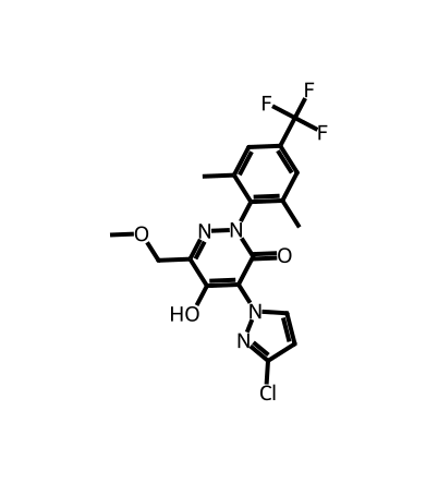 COCc1nn(-c2c(C)cc(C(F)(F)F)cc2C)c(=O)c(-n2ccc(Cl)n2)c1O